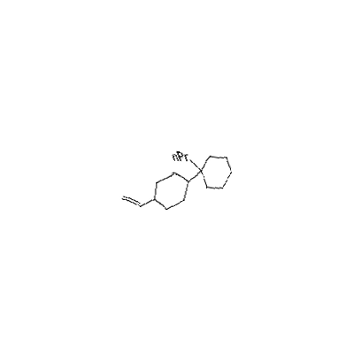 C=CC1CCC(C2(CCC)CCCCC2)CC1